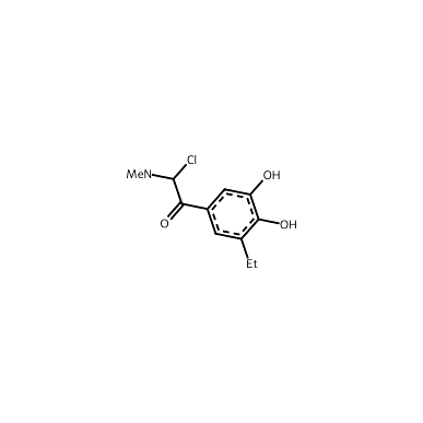 CCc1cc(C(=O)C(Cl)NC)cc(O)c1O